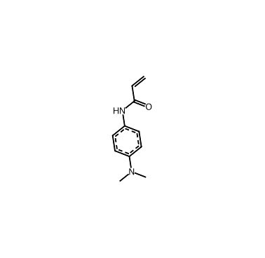 C=CC(=O)Nc1ccc(N(C)C)cc1